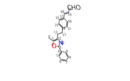 Cc1oc(-c2ccccc2)nc1CCc1ccc(/C=C/C=O)cc1